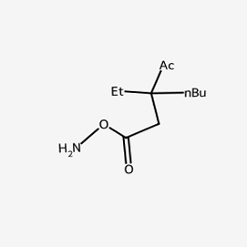 CCCCC(CC)(CC(=O)ON)C(C)=O